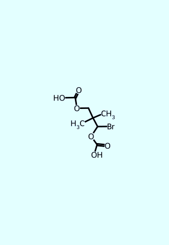 CC(C)(COC(=O)O)C(Br)OC(=O)O